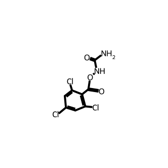 NC(=O)NOC(=O)c1c(Cl)cc(Cl)cc1Cl